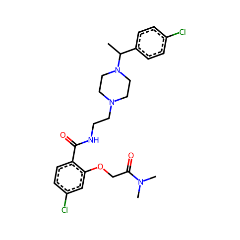 CC(c1ccc(Cl)cc1)N1CCN(CCNC(=O)c2ccc(Cl)cc2OCC(=O)N(C)C)CC1